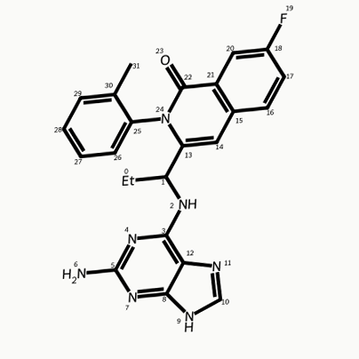 CCC(Nc1nc(N)nc2[nH]cnc12)c1cc2ccc(F)cc2c(=O)n1-c1ccccc1C